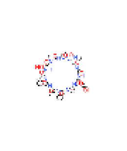 CCCN1CC(=O)N(C)[C@@H](CC(C)C)C(=O)N[C@H](C(=O)N2CCCCC2)CC(=O)N(C)[C@@H](C)C(=O)N[C@@H](COCC(C)(C)O)C(=O)N(C)[C@@H](CC(C)C)C(=O)N(C)[C@@H](Cc2ccccc2)C(=O)N[C@@H](CC(C)C)C(=O)N(C)[C@@H](Cc2ccccc2)C(=O)N(C)[C@@H]([C@@H](C)CC)C(=O)N[C@@H]([C@@H](C)O)C1=O